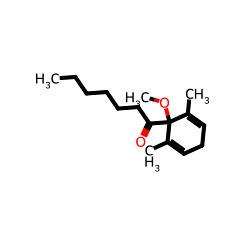 CCCCCCC(=O)C1(OC)C(C)=CCC=C1C